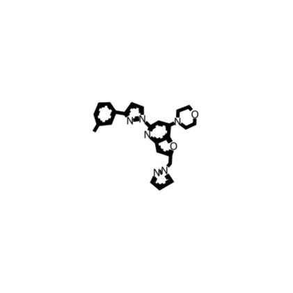 Cc1cccc(-c2ccn(-c3cc(N4CCOCC4)c4oc(Cn5cccn5)cc4n3)n2)c1